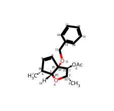 CC(=O)O[C@H]1[C@H](C)O[C@@H]2[C@H](C)C=C[C@@]21OCc1ccccc1